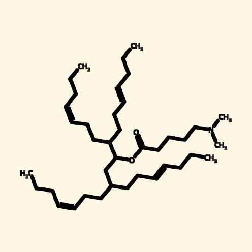 CCCC=CCCC(CC/C=C\CCC)CC(OC(=O)CCCCN(C)C)C(CCC=CCCC)CC/C=C\CCC